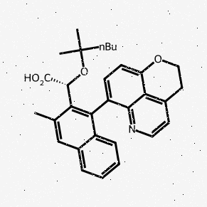 CCCCC(C)(C)O[C@@H](C(=O)O)c1c(C)cc2ccccc2c1-c1ccc2c3c(ccnc13)CCO2